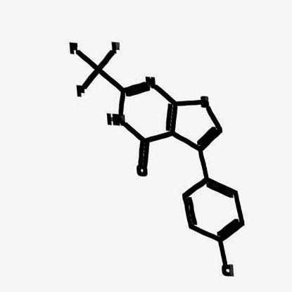 O=c1[nH]c(C(F)(F)F)nc2scc(-c3ccc(Cl)cc3)c12